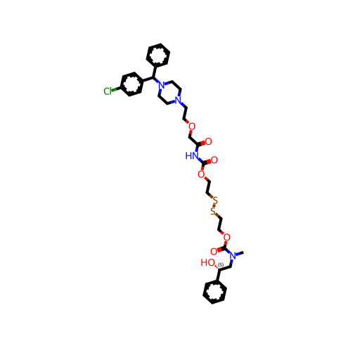 CN(C[C@@H](O)c1ccccc1)C(=O)OCCSSCCOC(=O)NC(=O)COCCN1CCN(C(c2ccccc2)c2ccc(Cl)cc2)CC1